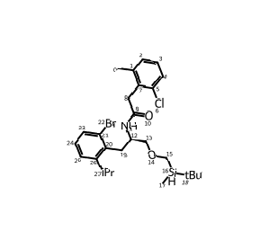 Cc1cccc(Cl)c1CC(=O)N[C@@H](COC[SiH](C)C(C)(C)C)Cc1c(Br)cccc1C(C)C